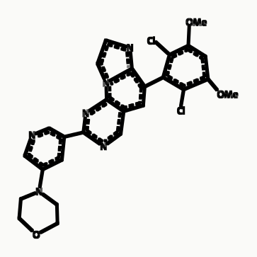 COc1cc(OC)c(Cl)c(-c2cc3cnc(-c4cncc(N5CCOCC5)c4)nc3n3ccnc23)c1Cl